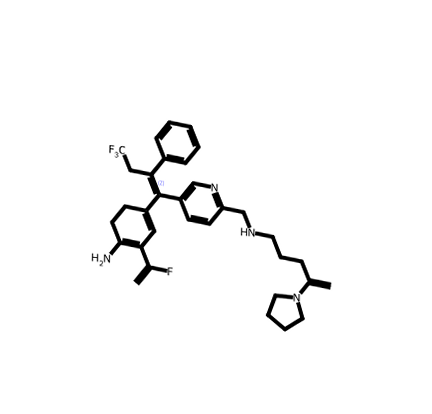 C=C(F)C1=C(N)CCC(/C(=C(\CC(F)(F)F)c2ccccc2)c2ccc(CNCCCC(=C)N3CCCC3)nc2)=C1